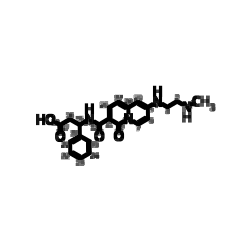 CNCCNc1ccn2c(=O)c(C(=O)NC(CC(=O)O)c3ccccc3)ccc2c1